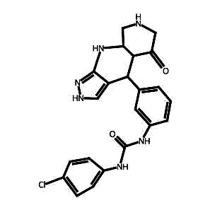 O=C(Nc1ccc(Cl)cc1)Nc1cccc(C2c3c[nH]nc3NC3CNCC(=O)C32)c1